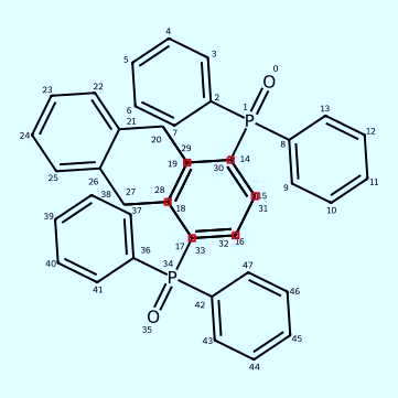 O=P(c1ccccc1)(c1ccccc1)c1cccc2c1C1c3ccccc3C2c2c1cccc2P(=O)(c1ccccc1)c1ccccc1